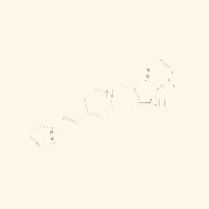 C1=C(/C=C/c2cccs2)CCN(Cc2c[nH]c3ncccc23)C1